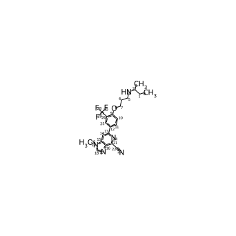 CCC(C)NCCCOc1ccc(-c2cc3c(ncn3C)c(C#N)n2)cc1C(F)(F)F